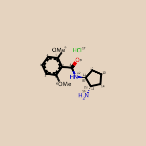 COc1cccc(OC)c1C(=O)N[C@H]1CCC[C@@H]1N.Cl